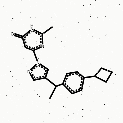 Cc1nc(-n2cc(C(C)c3ccc(C4CCC4)cc3)cn2)cc(=O)[nH]1